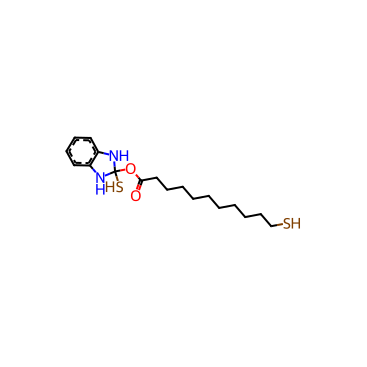 O=C(CCCCCCCCCCS)OC1(S)Nc2ccccc2N1